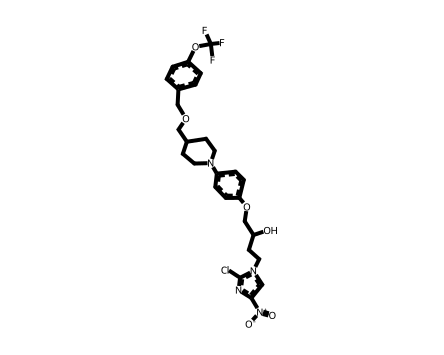 O=[N+]([O-])c1cn(CCC(O)COc2ccc(N3CCC(COCc4ccc(OC(F)(F)F)cc4)CC3)cc2)c(Cl)n1